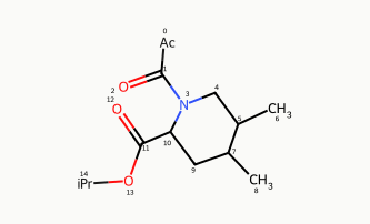 CC(=O)C(=O)N1CC(C)C(C)CC1C(=O)OC(C)C